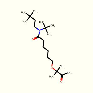 CC(=O)C(C)(C)OCCCCCC(=O)N(CCC(C)(C)C)C(C)(C)C